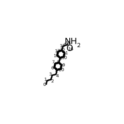 CCCCCc1ccc(-c2ccc(CC(N)=O)cc2)cc1